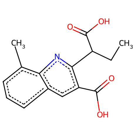 CCC(C(=O)O)c1nc2c(C)cccc2cc1C(=O)O